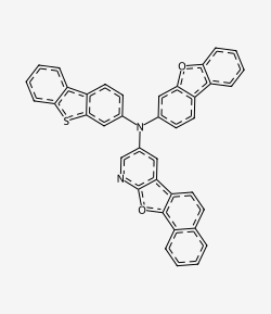 c1ccc2c(c1)ccc1c3cc(N(c4ccc5c(c4)oc4ccccc45)c4ccc5c(c4)sc4ccccc45)cnc3oc21